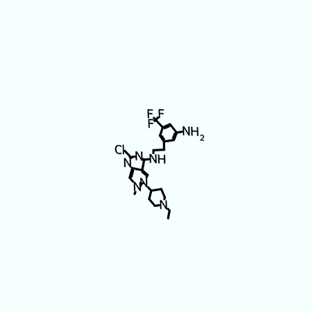 CCN1CCC(N2C=c3c(NCCc4cc(N)cc(C(F)(F)F)c4)nc(Cl)nc3=CN2C)CC1